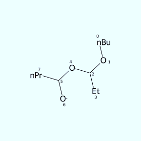 CCCCOC(CC)OC([O])CCC